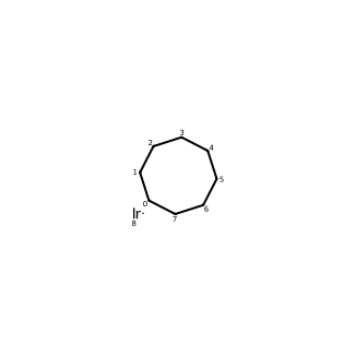 C1CCCCCCC1.[Ir]